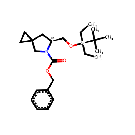 CC[Si](CC)(OC[C@@H]1CC2(CC2)CN1C(=O)OCc1ccccc1)C(C)(C)C